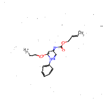 CC=CCOC(=O)N=c1cnn(-c2ccccc2)c(OCCC)c1